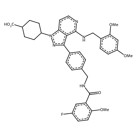 COc1ccc(CNc2nccc3c2c(-c2ccc(CNC(=O)c4cc(F)ccc4OC)cc2)nn3C2CCC(C(=O)O)CC2)c(OC)c1